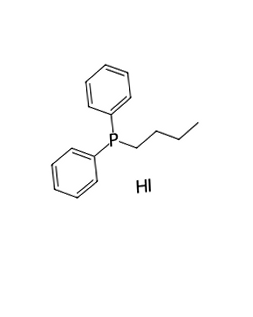 CCCCP(c1ccccc1)c1ccccc1.I